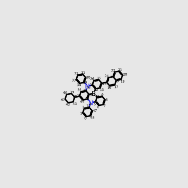 c1ccc(N2c3ccccc3B3c4cc(-c5ccc6ccccc6c5)ccc4N(c4ccccc4)c4cc(C5CCCCC5)cc2c43)cc1